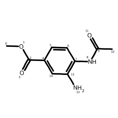 COC(=O)c1ccc(NC(C)=O)c(N)c1